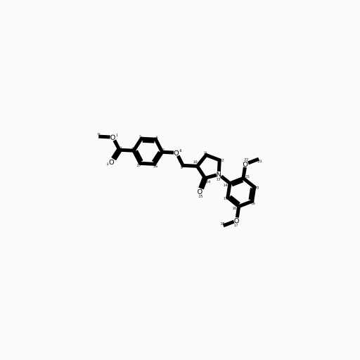 COC(=O)c1ccc(OCC2CCN(c3cc(OC)ccc3OC)C2=O)cc1